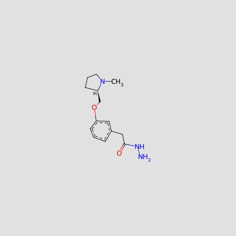 CN1CCC[C@@H]1COc1cccc(CC(=O)NN)c1